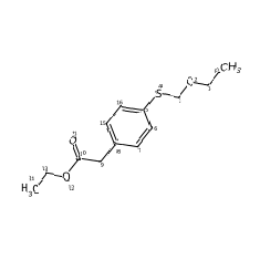 CCOCSc1ccc(CC(=O)OCC)cc1